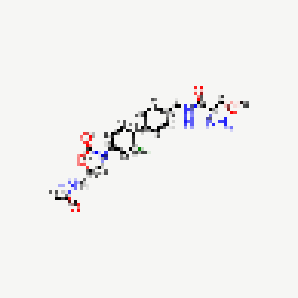 COC[C@H](N)C(=O)NCc1ccc(-c2ccc(N3C[C@H](CNC(C)=O)OC3=O)cc2F)cc1